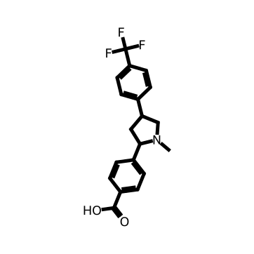 CN1CC(c2ccc(C(F)(F)F)cc2)CC1c1ccc(C(=O)O)cc1